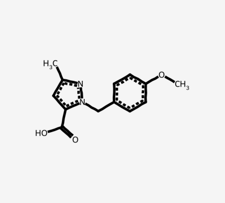 COc1ccc(Cn2nc(C)cc2C(=O)O)cc1